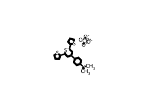 CN(C)c1ccc(-c2cc(-c3cccs3)[s+]c(-c3cccs3)c2)cc1.[O-][Cl+3]([O-])([O-])[O-]